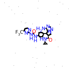 Nc1ncnn2cc(C(=O)NC3CC3)c(-c3ccc(NC(=O)Nc4nccc(C(F)(F)F)n4)cc3)c12